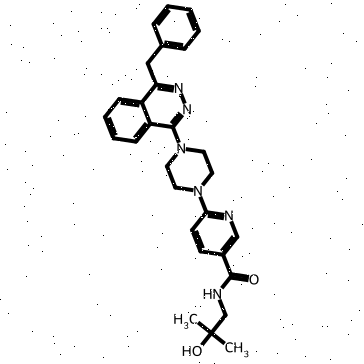 CC(C)(O)CNC(=O)c1ccc(N2CCN(c3nnc(Cc4ccccc4)c4ccccc34)CC2)nc1